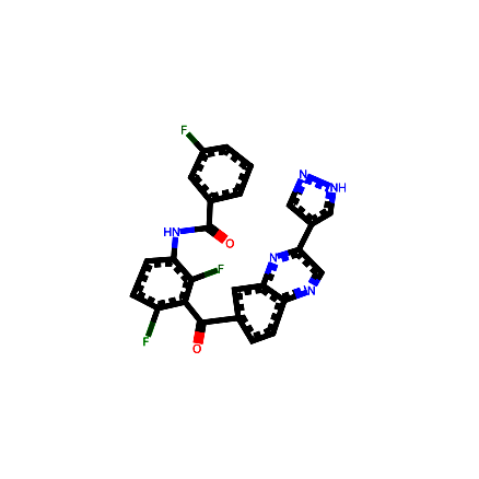 O=C(Nc1ccc(F)c(C(=O)c2ccc3ncc(-c4cn[nH]c4)nc3c2)c1F)c1cccc(F)c1